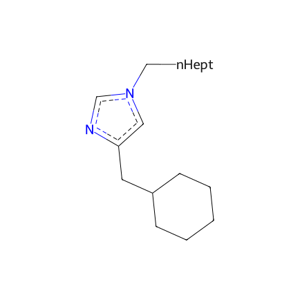 CCCCCCCCn1cnc(CC2CCCCC2)c1